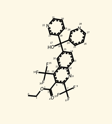 CCOC(=O)c1c(C(F)(F)F)nc2ccc(C(O)(c3cccnc3)c3cccnc3)cc2c1C(F)(F)F